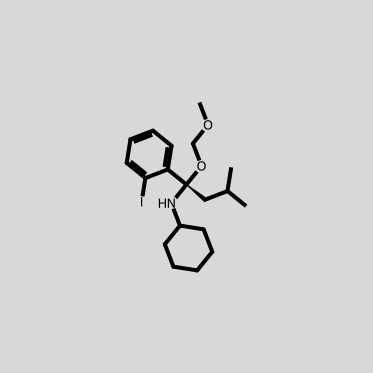 COCO[C@](CC(C)C)(NC1CCCCC1)c1ccccc1I